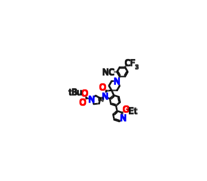 CCOc1ncccc1-c1ccc2c(c1)N([C@@H]1CCN(C(=O)OC(C)(C)C)C1)C(=O)C21CCN(c2ccc(C(F)(F)F)cc2C#N)CC1